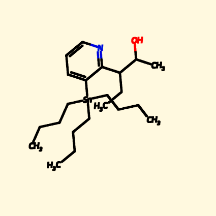 CCC[CH2][Sn]([CH2]CCC)([CH2]CCC)[c]1cccnc1C(CC)C(C)O